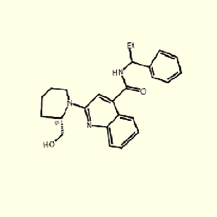 CCC(NC(=O)c1cc(N2CCCC[C@H]2CO)nc2ccccc12)c1ccccc1